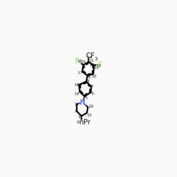 CCCC1CCN(c2ccc(-c3cc(F)c(C(F)(F)F)c(F)c3)cc2)CC1